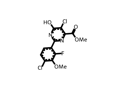 COC(=O)c1nc(-c2ccc(Cl)c(OC)c2F)nc(O)c1Cl